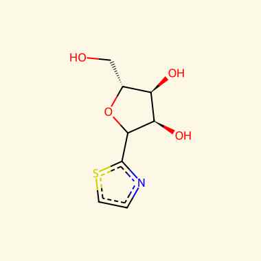 OC[C@H]1OC(c2nccs2)[C@H](O)[C@@H]1O